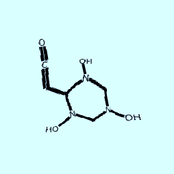 O=C=CC1N(O)CN(O)CN1O